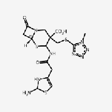 Cn1nnnc1SCC1(C(=O)O)CN2C(=O)C[C@H]2SC1NC(=O)CC1=CSC(N)N1